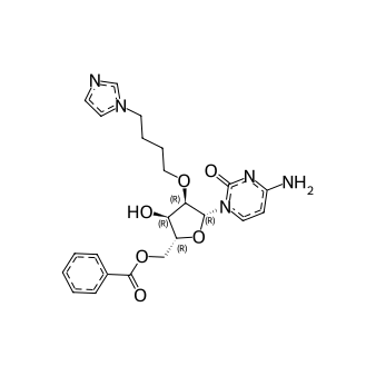 Nc1ccn([C@@H]2O[C@H](COC(=O)c3ccccc3)[C@@H](O)[C@H]2OCCCCn2ccnc2)c(=O)n1